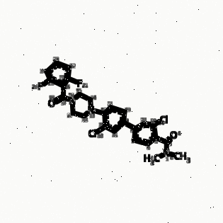 CN(C)C(=O)c1ccc(-c2ccc(N3CCN(C(=O)c4c(F)cccc4F)CC3)c(Cl)c2)cc1Cl